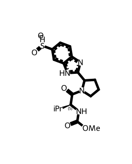 COC(=O)N[C@H](C(=O)N1CCCC1c1nc2ccc([SH](=O)=O)cc2[nH]1)C(C)C